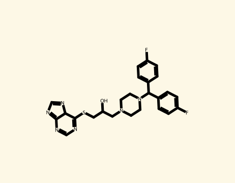 OC(CSC1=NC=NC2=NC=NC21)CN1CCN(C(c2ccc(F)cc2)c2ccc(F)cc2)CC1